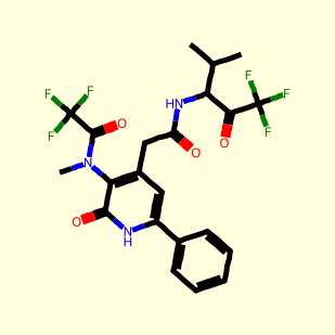 CC(C)C(NC(=O)Cc1cc(-c2ccccc2)[nH]c(=O)c1N(C)C(=O)C(F)(F)F)C(=O)C(F)(F)F